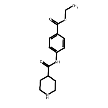 CCOC(=O)c1ccc(NC(=O)C2CCNCC2)cc1